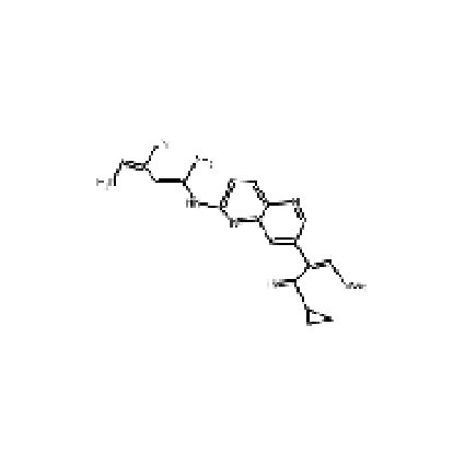 CN/C=C(\C(=N)C1CC1)c1cnc2ccc(N/C(N)=C/C(=C\N)C(C)C)nc2c1